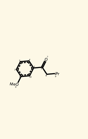 COc1cccc(C(=O)CC(C)C)c1